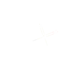 CS(=O)(F)=S